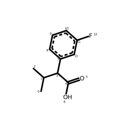 CC(C)C(C(=O)O)c1cccc(F)c1